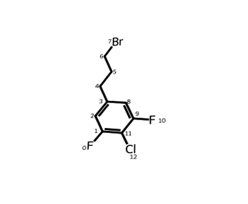 Fc1cc(CCCBr)cc(F)c1Cl